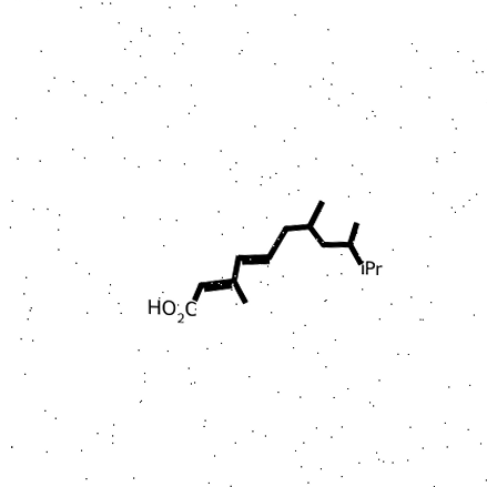 CC(/C=C/CC(C)CC(C)C(C)C)=C\C(=O)O